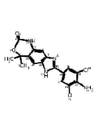 CC1(C)OC(=O)Nc2cc3nc(-c4cc(Cl)c(N)c(Cl)c4)[nH]c3cc21